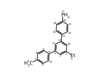 CCc1cc(-c2ccc(C)cc2)cc(-c2ccc(P)cc2)c1